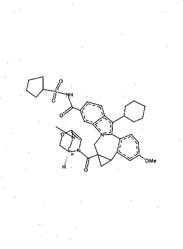 COc1ccc2c(c1)C1CC1(C(=O)N1C=C3OC[C@H]1CN3C)Cn1c-2c(C2CCCCC2)c2ccc(C(=O)NS(=O)(=O)C3CCCC3)cc21